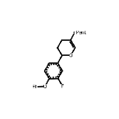 CCCCCC1=COC(c2ccc(OCC)c(F)c2)CC1